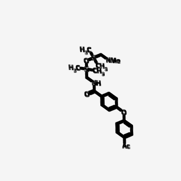 CNC[Si](C)(C)O[Si](C)(C)CNC(=O)c1ccc(Oc2ccc(C(C)=O)cc2)cc1